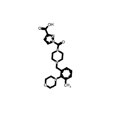 Cc1cccc(CN2CCN(C(=O)n3ccc(C(=O)O)n3)CC2)c1N1CCOCC1